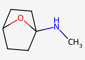 CNC12CCC(CC1)O2